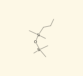 CCC[Si](C)(C)O[Si](C)(C)C